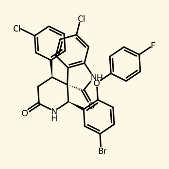 O=C1C[C@@H](c2cccc(Cl)c2)[C@]2(C(=O)Nc3cc(Cl)ccc32)[C@@H](c2cc(Br)ccc2Oc2ccc(F)cc2)N1